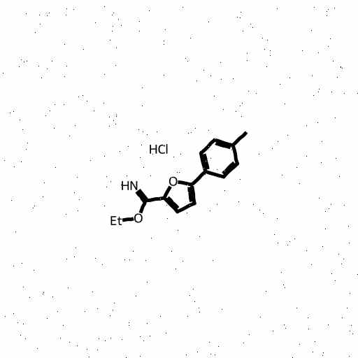 CCOC(=N)c1ccc(-c2ccc(C)cc2)o1.Cl